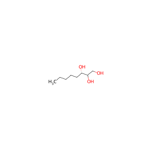 CCCCC[C@H](O)C(O)CO